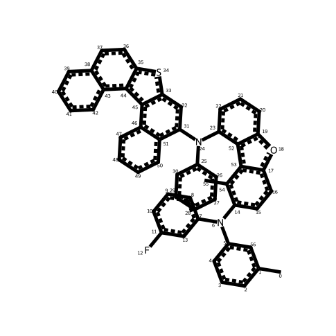 Cc1cccc(N(c2cccc(F)c2)c2ccc3oc4cccc(N(c5ccccc5)c5cc6sc7ccc8ccccc8c7c6c6ccccc56)c4c3c2C)c1